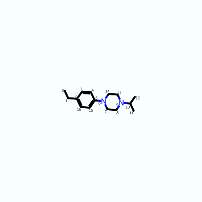 [CH2]Cc1ccc(N2CCN(C(C)C)CC2)cc1